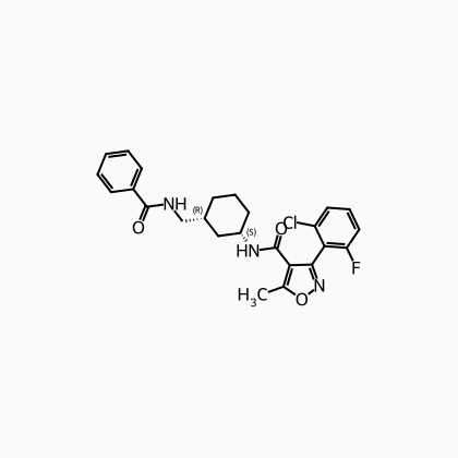 Cc1onc(-c2c(F)cccc2Cl)c1C(=O)N[C@H]1CCC[C@@H](CNC(=O)c2ccccc2)C1